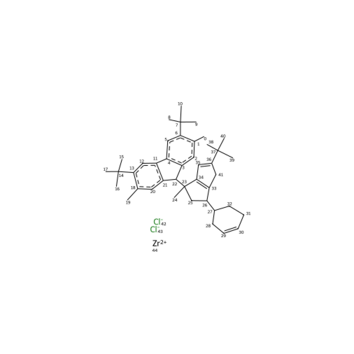 Cc1cc2c(cc1C(C)(C)C)-c1cc(C(C)(C)C)c(C)cc1C2C1(C)CC(C2CC=CCC2)C2=C1C=C(C(C)(C)C)C2.[Cl-].[Cl-].[Zr+2]